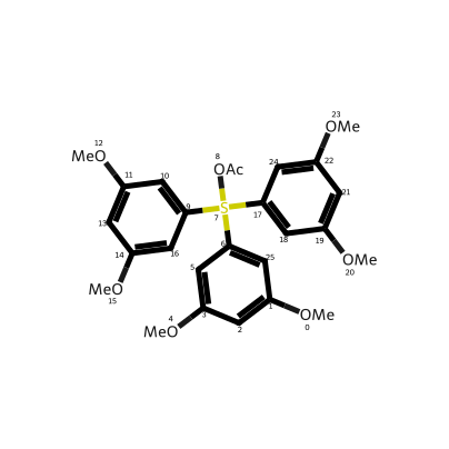 COc1cc(OC)cc(S(OC(C)=O)(c2cc(OC)cc(OC)c2)c2cc(OC)cc(OC)c2)c1